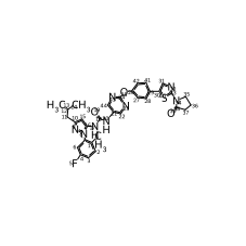 Cc1ccc(F)cc1-n1nc(CC(C)C)cc1NC(=O)Nc1cnc(Oc2ccc(-c3cnc(N4CCCC4=O)s3)cc2)nc1